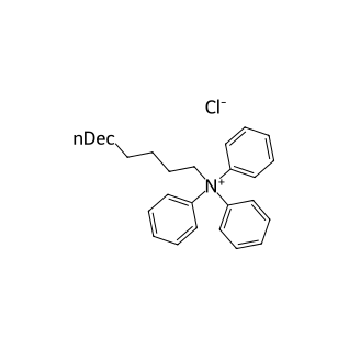 CCCCCCCCCCCCCC[N+](c1ccccc1)(c1ccccc1)c1ccccc1.[Cl-]